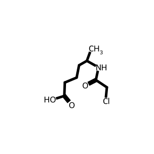 CC(CCCC(=O)O)NC(=O)CCl